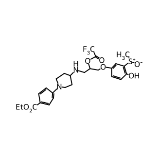 CCOC(=O)c1ccc(N2CCC(NCC(COc3ccc(O)c([S+](C)[O-])c3)OC(=O)C(F)(F)F)CC2)cc1